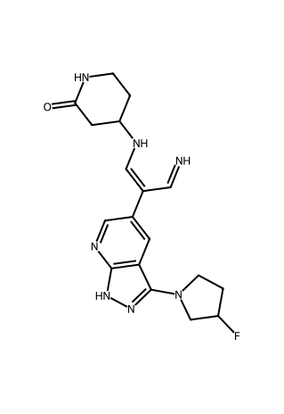 N=C/C(=C\NC1CCNC(=O)C1)c1cnc2[nH]nc(N3CCC(F)C3)c2c1